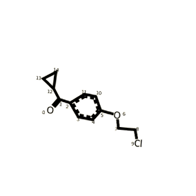 O=C(c1ccc(OCCCl)cc1)C1CC1